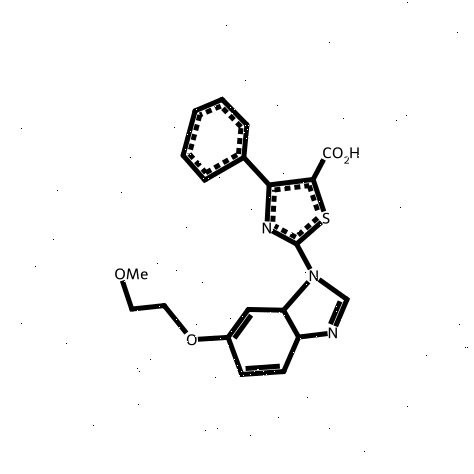 COCCOC1=CC2C(C=C1)N=CN2c1nc(-c2ccccc2)c(C(=O)O)s1